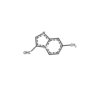 Cc1ccn2c(C=O)cnc2c1